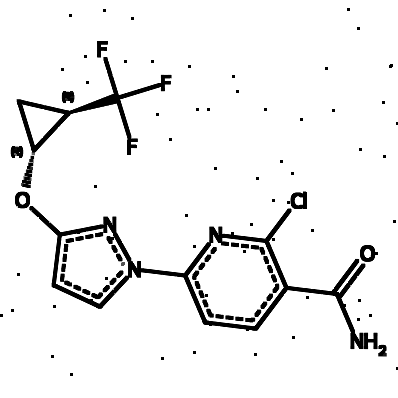 NC(=O)c1ccc(-n2ccc(O[C@@H]3C[C@H]3C(F)(F)F)n2)nc1Cl